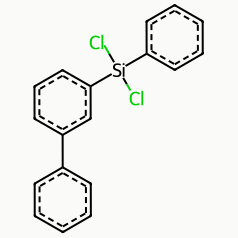 Cl[Si](Cl)(c1ccccc1)c1cccc(-c2ccccc2)c1